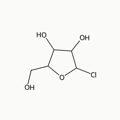 OCC1OC(Cl)C(O)C1O